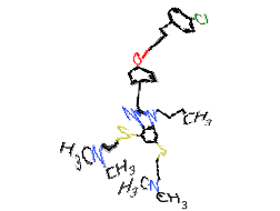 CCCCn1c(-c2ccc(OCCc3ccc(Cl)cc3)cc2)nc2c(SCCN(C)C)cc(SCCN(C)C)cc21